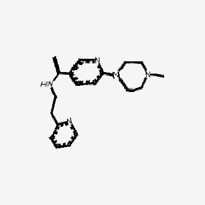 C=C(NCCc1ccccn1)c1ccc(N2CCN(C)CC2)nc1